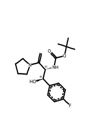 C=C([C@H](NC(=O)OC(C)(C)C)[C@H](O)c1ccc(F)cc1)N1CCCC1